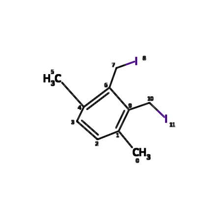 Cc1ccc(C)c(CI)c1CI